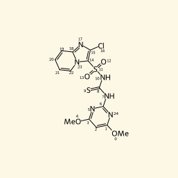 COc1cc(OC)nc(NC(=S)NS(=O)(=O)c2c(Cl)nc3ccccn23)n1